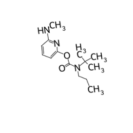 CCCN(C(=O)Oc1cccc(NC)n1)C(C)(C)C